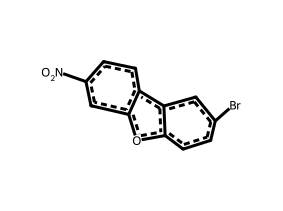 O=[N+]([O-])c1ccc2c(c1)oc1ccc(Br)cc12